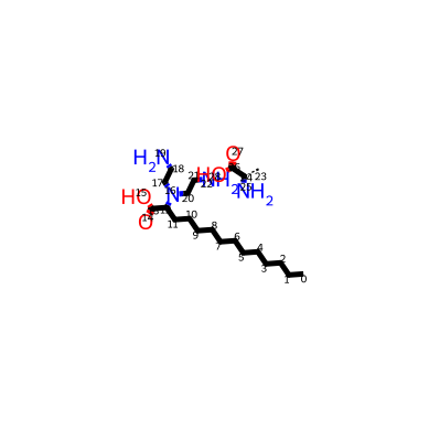 CCCCCCCCCCCCC(C(=O)O)N(CCN)CCN.C[C@H](N)C(=O)O